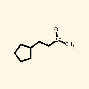 C[S+]([O-])CCC1CCCC1